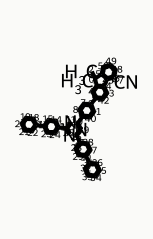 CC1(C)c2cc(-c3ccc(-c4nc(-c5ccc(-c6ccccc6)cc5)nc(-c5ccc(-c6ccccc6)cc5)n4)cc3)ccc2-c2c(C#N)cccc21